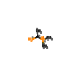 C=[PH](C)C(C)P